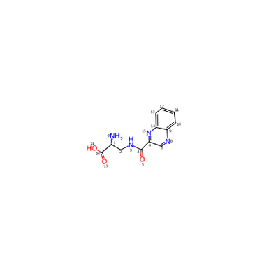 N[C@@H](CNC(=O)c1cnc2ccccc2n1)C(=O)O